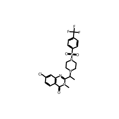 CC(c1nc2cc(Cl)ccc2c(=O)n1C)N1CCN(S(=O)(=O)c2ccc(C(F)(F)F)cc2)CC1